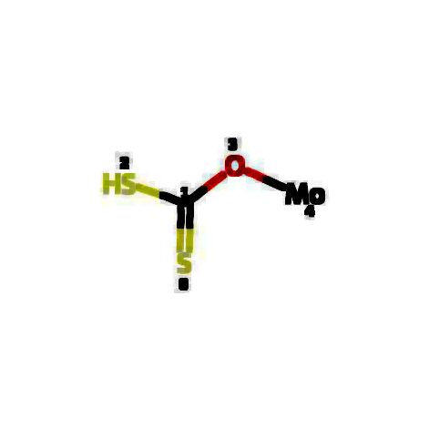 S=C(S)[O][Mo]